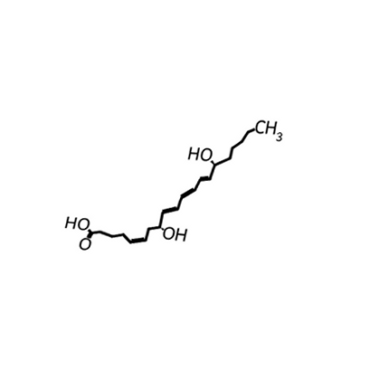 CCCCC[C@H](O)/C=C/C=C/C=C/[C@H](O)C/C=C\CCCC(=O)O